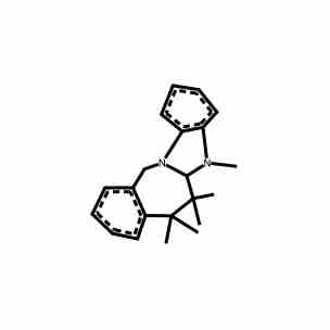 CN1c2ccccc2N2Cc3ccccc3C(C)(C)C(C)(C)C12